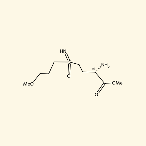 COCCCS(=N)(=O)CC[C@H](N)C(=O)OC